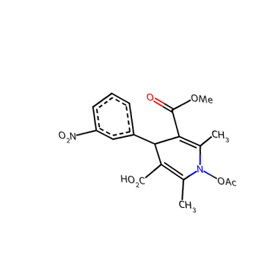 COC(=O)C1=C(C)N(OC(C)=O)C(C)=C(C(=O)O)C1c1cccc([N+](=O)[O-])c1